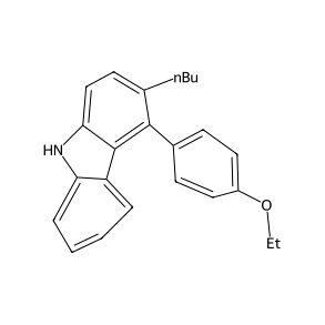 CCCCc1ccc2[nH]c3ccccc3c2c1-c1ccc(OCC)cc1